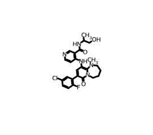 CC(CO)NC(=O)c1cnccc1Nc1cc(-c2cc(Cl)ccc2F)c(=O)n2c1N(C)CCCC2